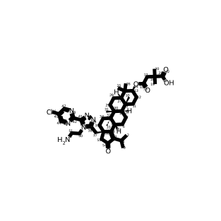 CC(C)C1=C2[C@H]3CC[C@@H]4[C@@]5(C)CC[C@H](OC(=O)CC(C)(C)C(=O)O)C(C)(C)[C@@H]5CC[C@@]4(C)[C@]3(C)CC[C@@]2(Cc2nnc(-c3ncc(Cl)cn3)n2CCN)CC1=O